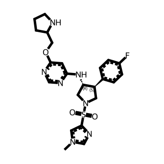 Cn1cnc(S(=O)(=O)N2C[C@H](Nc3cc(OCC4CCCN4)ncn3)[C@@H](c3ccc(F)cc3)C2)c1